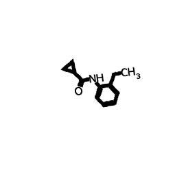 CCc1ccccc1NC(=O)C1CC1